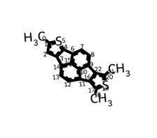 Cc1cc2c(s1)-c1ccc3c4c(ccc-2c14)-c1c(C)sc(C)c1-3